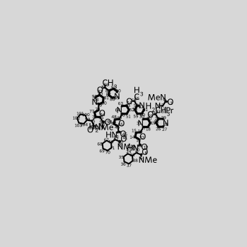 CNC(=O)[C@@H](N)C(C)C.CNC(=O)[C@@H](NC(=O)c1ccc(-c2ccc(OC(C)c3cccnc3)cn2)o1)C1CCCCC1.CNC(=O)[C@@H](NC(=O)c1ccc(-c2ccc(O[C@H](C)c3ccccn3)cn2)o1)C1CCCCC1.CNC(=O)[C@H](c1cc(-c2ccc(O[C@@H](C)c3ccncc3)cn2)oc1C(N)=O)C1CCCCC1